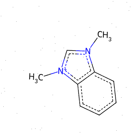 Cn1c[n+](C)c2ccccc21